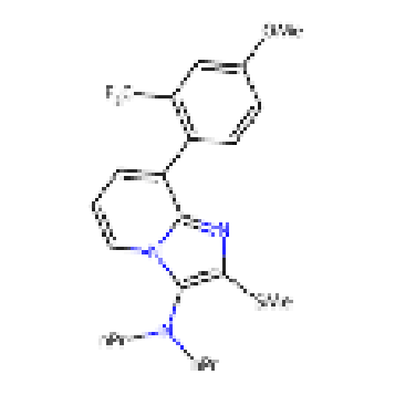 CCCN(CCC)c1c(SC)nc2c(-c3ccc(OC)cc3C(F)(F)F)cccn12